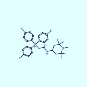 CN1C(C)(C)CC(NC(=O)C[PH](c2ccc(F)cc2)(c2ccc(F)cc2)c2ccc(F)cc2)CC1(C)C